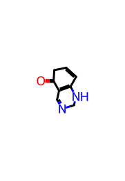 O=C1CC=CC2=C1C=NCN2